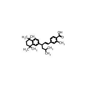 Cc1cc(C=CC(CC(C)C)c2ccc3c(c2)C(C)(C)CCC3(C)C)ccc1C(=O)O